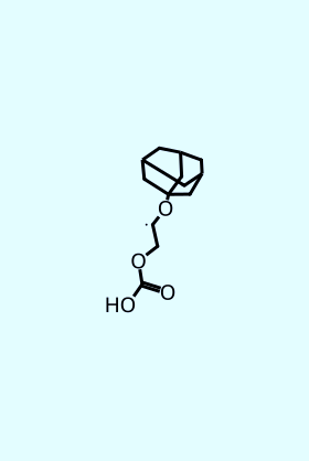 O=C(O)OC[CH]OC12CC3CC(CC(C3)C1)C2